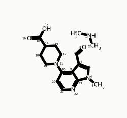 CNC.Cn1cc(C=O)c2c(N3CCC(C(=O)O)CC3)ccnc21